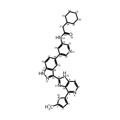 Cc1ccc(-c2nccc3[nH]c(-c4n[nH]c5ccc(-c6cncc(NC(=O)CC7CCCCC7)c6)cc45)nc23)s1